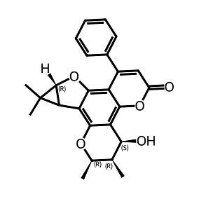 C[C@@H]1[C@H](O)c2c(c3c(c4c(-c5ccccc5)cc(=O)oc24)O[C@@H]2C3C2(C)C)O[C@@H]1C